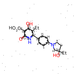 CCc1c(-c2ccc(N3CCC(O)(CC)C3)cc2)[nH]c(=O)c(C(=O)O)c1O